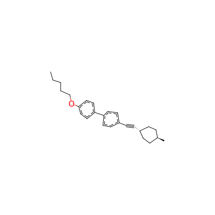 CCCCCOc1ccc(-c2ccc(C#C[C@H]3CC[C@H](C)CC3)cc2)cc1